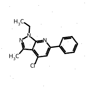 CCn1nc(C)c2c(Cl)cc(-c3ccccc3)nc21